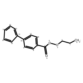 [CH2]CCOOC(=O)c1ccc(-c2ccccc2)cc1